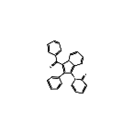 O=C(c1ccccc1)c1c(-c2ccccc2)c(-n2ccccc2=O)c2ccccn12